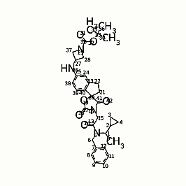 CC(C1CC1)N(Cc1ccccc1)C(=O)CN1C(=O)OC2(CCc3cc(NC4CN(C(=O)OC(C)(C)C)C4)ccc32)C1=O